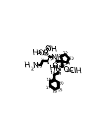 Cl.NCCC[C@H](NC(=O)C1(C(=O)NCCc2ccccc2)CCCC1)B(O)O